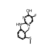 CSc1cccc(Nc2ncc(F)c(O)n2)c1F